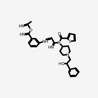 CC(=N)OC(=N)c1cccc(N/C=C\C(=N)N(C(=O)c2cccs2)C2CCN(CC(O)c3ccccc3)CC2)c1